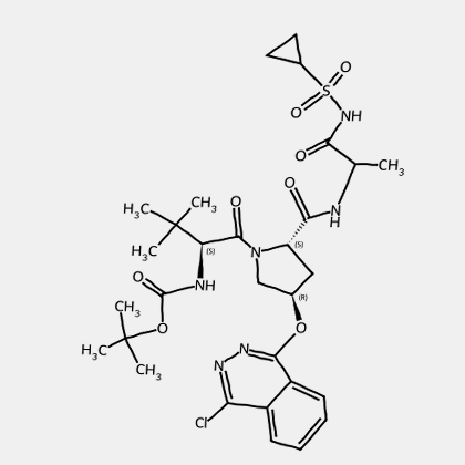 CC(NC(=O)[C@@H]1C[C@@H](Oc2nnc(Cl)c3ccccc23)CN1C(=O)[C@@H](NC(=O)OC(C)(C)C)C(C)(C)C)C(=O)NS(=O)(=O)C1CC1